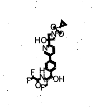 O=C(N[C@H](CF)[C@H](O)c1ccc(-c2ccc(C3(O)CN(S(=O)(=O)C4CC4)C3)nc2)cc1)C(F)F